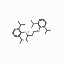 CC(C)c1cccc(C(C)C)c1NCCC(CF)Nc1c(C(C)C)cccc1C(C)C